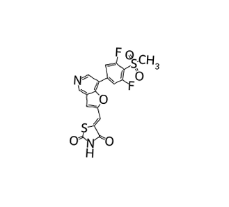 CS(=O)(=O)c1c(F)cc(-c2cncc3cc(/C=C4\SC(=O)NC4=O)oc23)cc1F